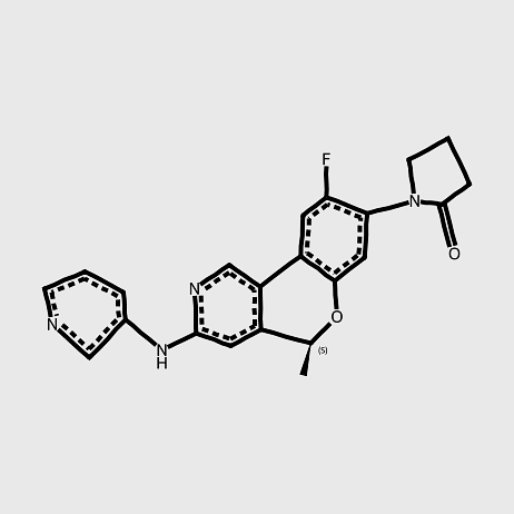 C[C@@H]1Oc2cc(N3CCCC3=O)c(F)cc2-c2cnc(Nc3cccnc3)cc21